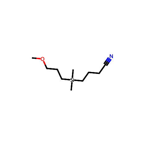 COCCC[Si](C)(C)CCCC#N